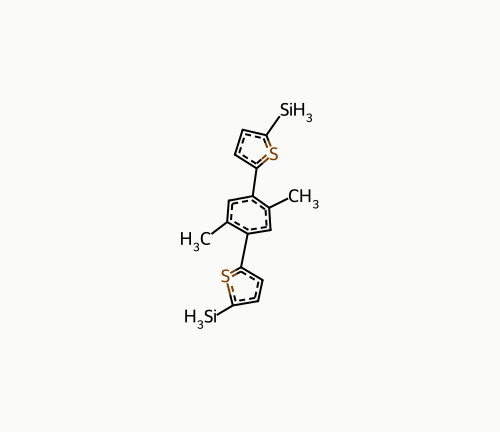 Cc1cc(-c2ccc([SiH3])s2)c(C)cc1-c1ccc([SiH3])s1